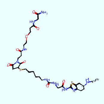 CCCN[C@H]1CCc2nc(NC(=O)CNC(=O)NCCCCCCSC3CC(=O)N(CCC(=O)NCCOCCC(=O)NCC(N)=O)C3=O)sc2C1